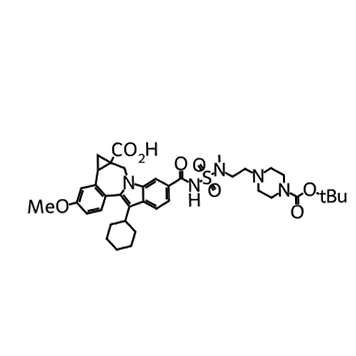 COc1ccc2c(c1)C1CC1(C(=O)O)Cn1c-2c(C2CCCCC2)c2ccc(C(=O)NS(=O)(=O)N(C)CCN3CCN(C(=O)OC(C)(C)C)CC3)cc21